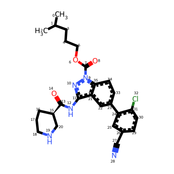 CC(C)CCCOC(=O)n1nc(NC(=O)[C@@H]2CCCNC2)c2cc(-c3cc(C#N)ccc3Cl)ccc21